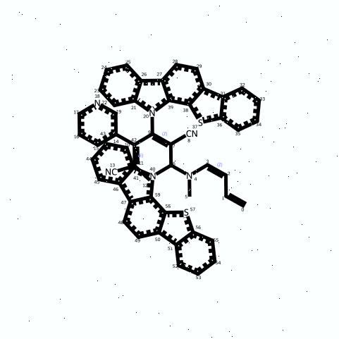 C=C/C=C\N(C)C(/C(C#N)=C(\C(=C(/C)C#N)c1cccnc1)n1c2ccccc2c2ccc3c4ccccc4sc3c21)n1c2ccccc2c2ccc3c4ccccc4sc3c21